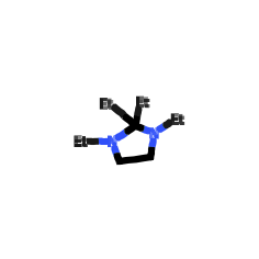 CCN1CCN(CC)C1(CC)CC